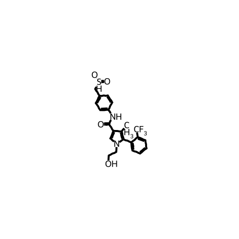 Cc1c(C(=O)Nc2ccc(C[SH](=O)=O)cc2)cn(CCO)c1-c1ccccc1C(F)(F)F